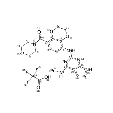 CC(C)Nc1nc(Nc2ccc(C(=O)N3CCOCC3)c3c2OCCO3)nc2[nH]ccc12.O=C(O)C(F)(F)F